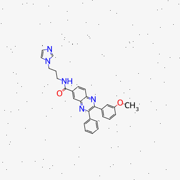 COc1cccc(-c2nc3ccc(C(=O)NCCCn4ccnc4)cc3nc2-c2ccccc2)c1